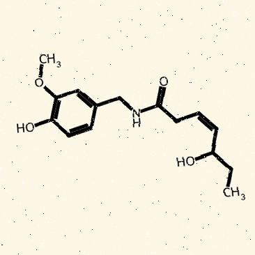 CCC(O)/C=C\CC(=O)NCc1ccc(O)c(OC)c1